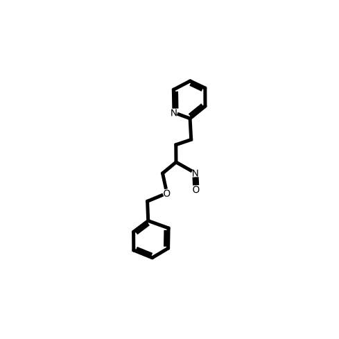 O=NC(CCc1ccccn1)COCc1ccccc1